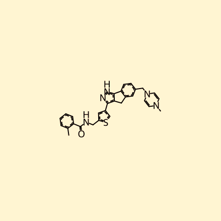 Cc1ccccc1C(=O)NCc1cc(-c2n[nH]c3c2Cc2cc(CN4C=CN(C)C=C4)ccc2-3)cs1